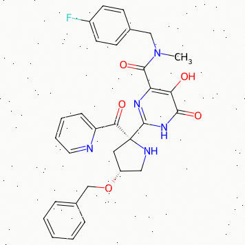 CN(Cc1ccc(F)cc1)C(=O)c1nc([C@]2(C(=O)c3ccccn3)C[C@@H](OCc3ccccc3)CN2)[nH]c(=O)c1O